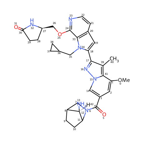 COc1cc(C(=O)N2CC3CCC2[C@@H]3N)cn2nc(-c3cc4ccnc(OC[C@H]5CCC(=O)N5)c4n3CC3CC3)c(C)c12